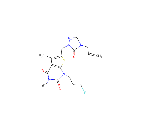 C=CCn1cnn(Cc2sc3c(c2C)c(=O)n(C(C)C)c(=O)n3CCCF)c1=O